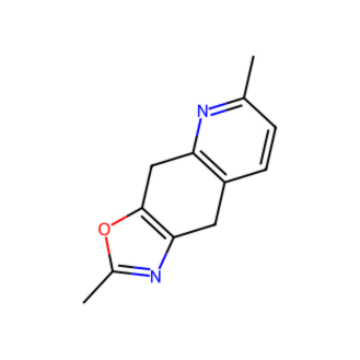 Cc1ccc2c(n1)Cc1oc(C)nc1C2